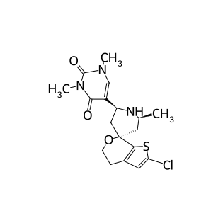 C[C@H]1C[C@@]2(C[C@@H](c3cn(C)c(=O)n(C)c3=O)N1)OCCc1cc(Cl)sc12